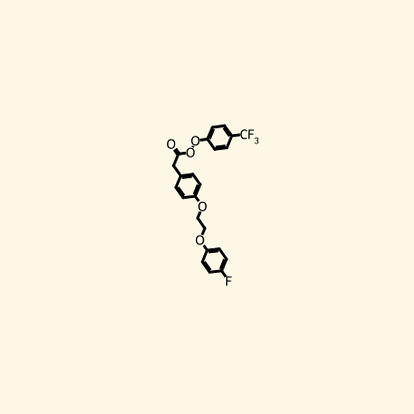 O=C(Cc1ccc(OCCOc2ccc(F)cc2)cc1)OOc1ccc(C(F)(F)F)cc1